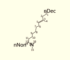 CCCCCCCCCCCC/C(C)=C/CCCCCCC(CCCCCCCCC)N(C)C